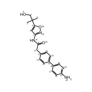 CC(C)(CO)c1cc(NC(=O)Cc2ccc(-c3ccc(N)nc3)cc2)no1